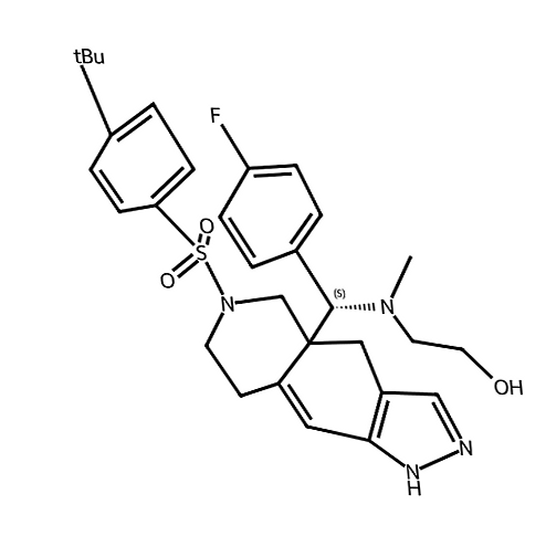 CN(CCO)[C@@H](c1ccc(F)cc1)C12Cc3cn[nH]c3C=C1CCN(S(=O)(=O)c1ccc(C(C)(C)C)cc1)C2